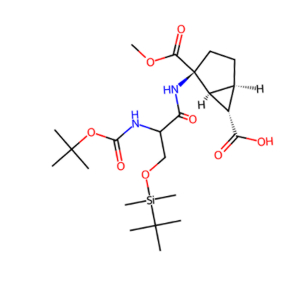 COC(=O)[C@]1(NC(=O)C(CO[Si](C)(C)C(C)(C)C)NC(=O)OC(C)(C)C)CC[C@H]2[C@H](C(=O)O)[C@H]21